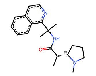 CC(C(=O)NC(C)(C)c1nccc2ccccc12)[C@@H]1CCCN1C